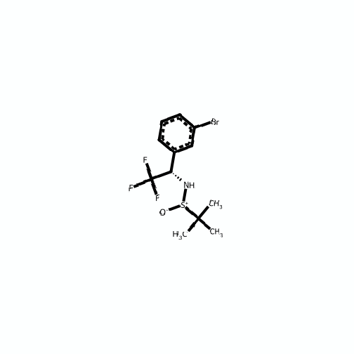 CC(C)(C)[S+]([O-])N[C@@H](c1cccc(Br)c1)C(F)(F)F